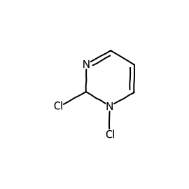 ClC1N=CC=CN1Cl